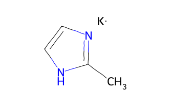 Cc1ncc[nH]1.[K]